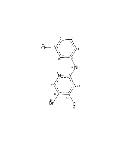 Clc1cccc(Nc2ncc(Br)c(Cl)n2)c1